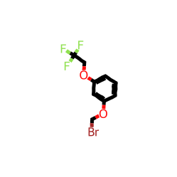 FC(F)(F)COc1cccc(OCBr)c1